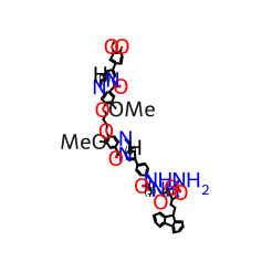 COc1cc2c(cc1OCCCOc1cc3c(cc1OC)C(=O)N1C=C(c4ccc5c(c4)OCO5)C[C@H]1C=N3)N=C[C@@H]1CC(c3ccc(NC(=O)[C@H](C)NC(=O)[C@@H](OC(N)=O)C(C)CCC4c5ccccc5-c5ccccc54)cc3)=CN1C2=O